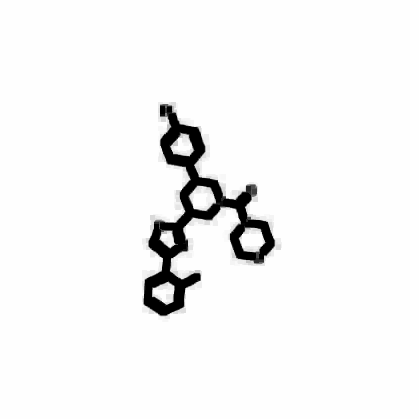 CCc1ccc(C2CC(c3nc(-c4ccccc4C)co3)CN(C(=O)N3CCOCC3)C2)cc1